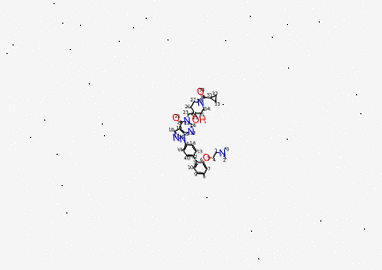 CN(C)CCOc1ccccc1-c1ccc(-n2ncc3c(=O)n(CC4(O)CCN(C(=O)C5CC5)CC4)cnc32)cc1